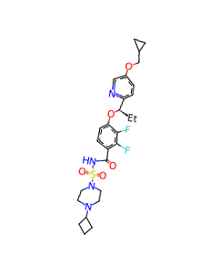 CC[C@@H](Oc1ccc(C(=O)NS(=O)(=O)N2CCN(C3CCC3)CC2)c(F)c1F)c1ccc(OCC2CC2)cn1